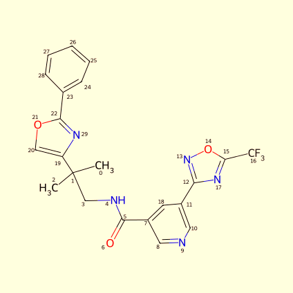 CC(C)(CNC(=O)c1cncc(-c2noc(C(F)(F)F)n2)c1)c1coc(-c2ccccc2)n1